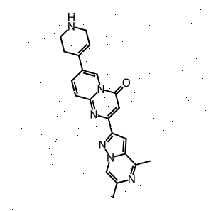 Cc1cn2nc(-c3cc(=O)n4cc(C5=CCNCC5)ccc4n3)cc2c(C)n1